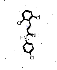 N=C(/C=C/c1c(Cl)cccc1Cl)Nc1ccc(Cl)cc1